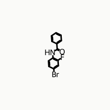 O=C(Nc1ccc(Br)cc1F)c1ccccc1